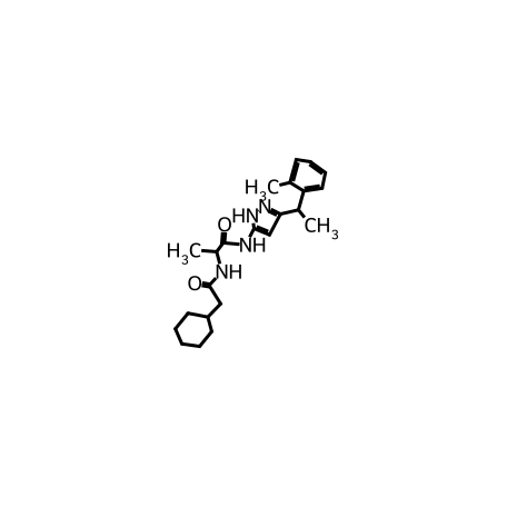 Cc1ccccc1C(C)c1cc(NC(=O)C(C)NC(=O)CC2CCCCC2)[nH]n1